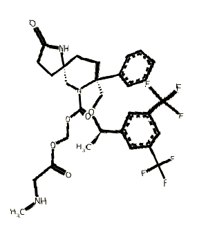 CNCC(=O)OCOC(=O)N1C[C@@]2(CCC(=O)N2)CC[C@@]1(CO[C@H](C)c1cc(C(F)(F)F)cc(C(F)(F)F)c1)c1ccccc1